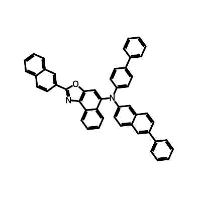 c1ccc(-c2ccc(N(c3ccc4cc(-c5ccccc5)ccc4c3)c3cc4oc(-c5ccc6ccccc6c5)nc4c4ccccc34)cc2)cc1